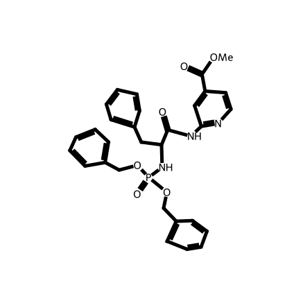 COC(=O)c1ccnc(NC(=O)C(Cc2ccccc2)NP(=O)(OCc2ccccc2)OCc2ccccc2)c1